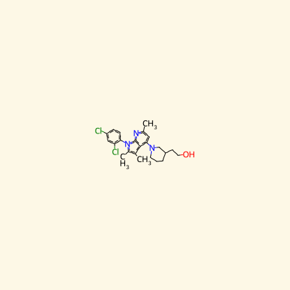 Cc1cc(N2CCCC(CCO)C2)c2c(C)c(C)n(-c3ccc(Cl)cc3Cl)c2n1